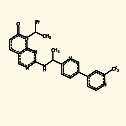 CC(Nc1ncc2ccc(=O)n(C(C)C(C)C)c2n1)c1ccc(-c2ccnc(C(F)(F)F)c2)cn1